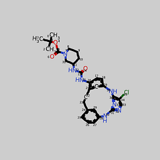 CC(C)(C)OC(=O)N1CCCC(NC(=O)Nc2ccc3cc2CCc2cccc(c2)Nc2ncc(Cl)c(n2)N3)C1